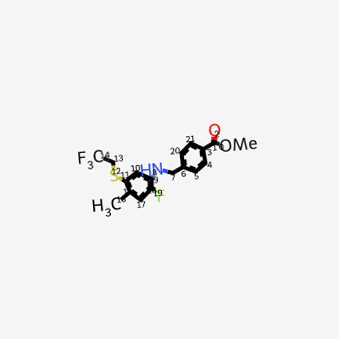 COC(=O)c1ccc(CNc2cc(SCC(F)(F)F)c(C)cc2F)cc1